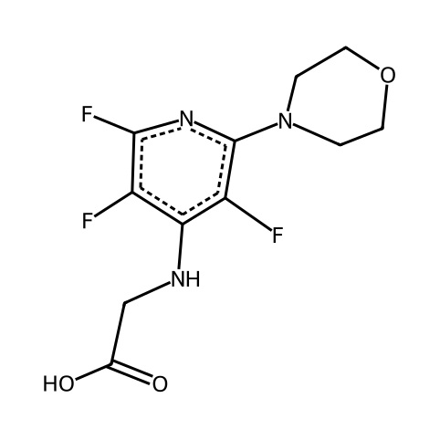 O=C(O)CNc1c(F)c(F)nc(N2CCOCC2)c1F